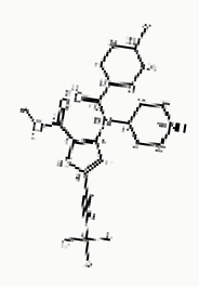 COC(=O)c1sc(C#CC(C)(C)C)cc1N(C(=O)C1CCC(C)CC1)C1CCNCC1